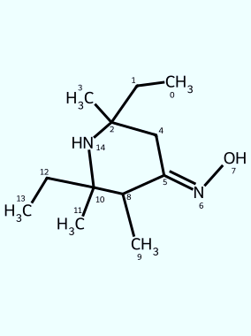 CCC1(C)CC(=NO)C(C)C(C)(CC)N1